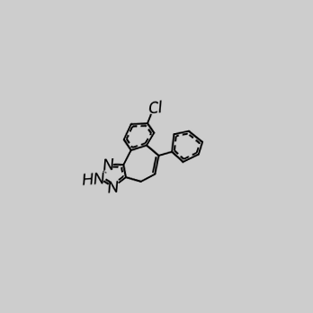 Clc1ccc2c(c1)C(c1ccccc1)=CCc1n[nH]nc1-2